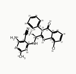 Cc1nc(N)c(C#N)c(N[C@@H](C)c2nc3c(Cl)cccc3c(=O)n2-c2ccccc2)n1